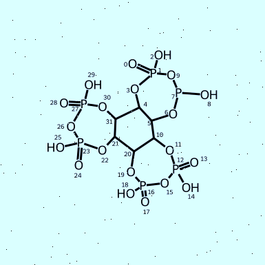 O=P1(O)OC2C(OP(O)O1)C1OP(=O)(O)OP(=O)(O)OC1C1OP(=O)(O)OP(=O)(O)OC21